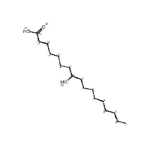 CCCCCCCCCC(O)CCCCCCC(=O)O